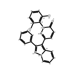 O=c1ccc(-c2c(-c3ccccc3)nn3ccccc23)nn1-c1c(Cl)cccc1Cl